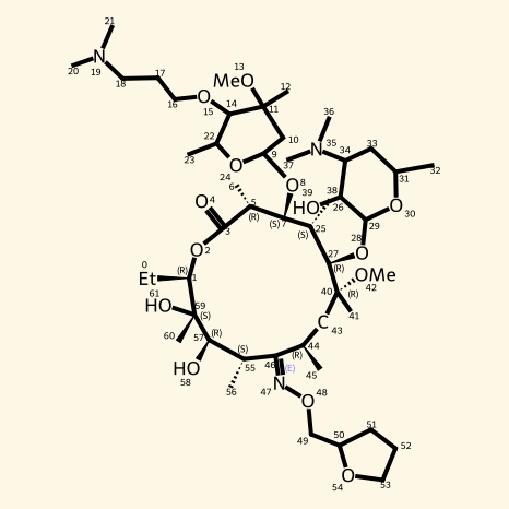 CC[C@H]1OC(=O)[C@H](C)[C@@H](OC2CC(C)(OC)C(OCCCN(C)C)C(C)O2)[C@H](C)[C@@H](OC2OC(C)CC(N(C)C)C2O)[C@](C)(OC)C[C@@H](C)/C(=N\OCC2CCCO2)[C@H](C)[C@@H](O)[C@]1(C)O